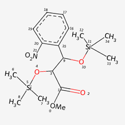 COC(=O)C(O[Si](C)(C)C)C(O[Si](C)(C)C)c1ccccc1[N+](=O)[O-]